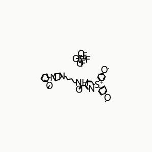 COc1ccc([S+](c2ccc(OC)cc2)c2ccc(C(=O)NCCCCN3CCN(c4ccccc4OC)CC3)cn2)cc1.O=S(=O)([O-])C(F)(F)F